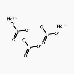 [Nd+3].[Nd+3].[O]=[Ti]([O-])[O-].[O]=[Ti]([O-])[O-].[O]=[Ti]([O-])[O-]